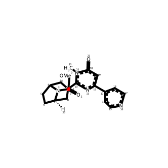 COC(=O)N1C2CC[C@@H]1CN(c1nc(-c3ccncc3)cc(=O)n1C)C2